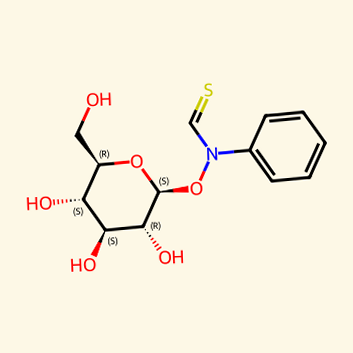 OC[C@H]1O[C@@H](ON(C=S)c2ccccc2)[C@H](O)[C@@H](O)[C@@H]1O